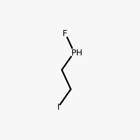 FPCCI